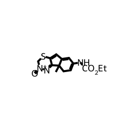 CCOC(=O)NC1=CCC2(C)C(=C1)C=C1SC[N+](=O)N=C12